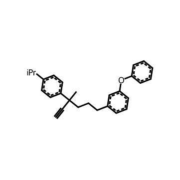 C#CC(C)(CCCc1cccc(Oc2ccccc2)c1)c1ccc(C(C)C)cc1